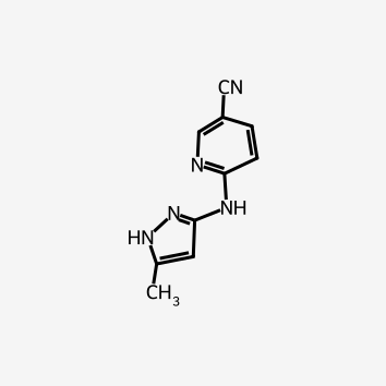 Cc1cc(Nc2ccc(C#N)cn2)n[nH]1